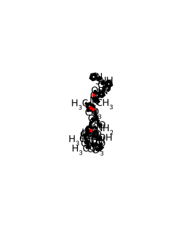 Cc1c(-c2ccc(N3CCc4cccc(C(=O)Nc5nc6ccccc6s5)c4C3)nc2C(=O)O)cnn1CC12CC3(C)CC(C)(C1)CC(OCCN(CCC(N)=O)C(=O)OCc1ccc(NC(=O)[C@H](C)NC(=O)[C@@H](NC(=O)CN4C(=O)C=CC4=O)C(C)C)cc1CC[C@@H]1O[C@H](C(=O)O)[C@@H](O)[C@H](O)[C@H]1O)(C3)C2